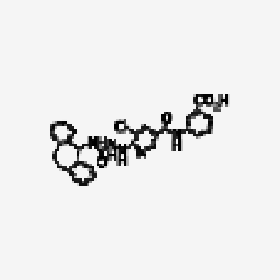 O=C(NNc1ncc(C(=O)Nc2cccc(C(=O)O)c2)cc1Cl)NC1c2ccccc2CCc2ccccc21